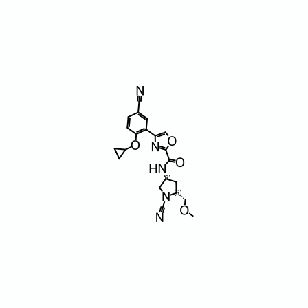 COC[C@H]1C[C@@H](NC(=O)c2nc(-c3cc(C#N)ccc3OC3CC3)co2)CN1C#N